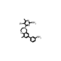 Cc1cc(-c2cccc(N)c2)cc2c1OCCN(c1nc(N)nc(C)c1C(C)C)C2